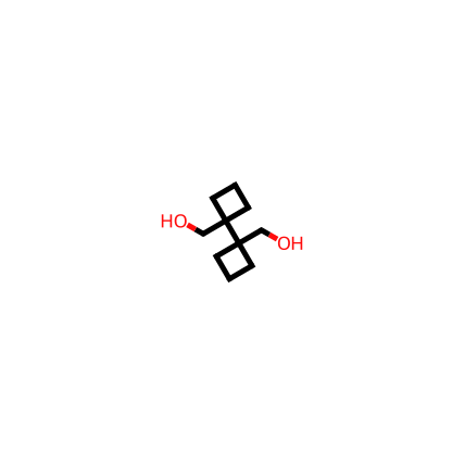 OCC1(C2(CO)CCC2)CCC1